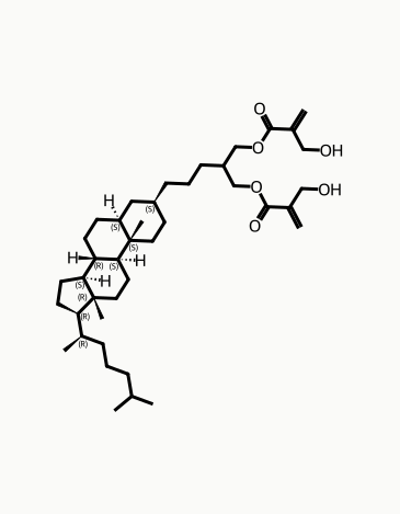 C=C(CO)C(=O)OCC(CCC[C@H]1CC[C@@]2(C)[C@@H](CC[C@@H]3[C@@H]2CC[C@]2(C)[C@@H]([C@H](C)CCCC(C)C)CC[C@@H]32)C1)COC(=O)C(=C)CO